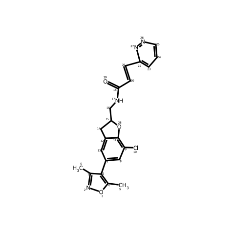 Cc1noc(C)c1-c1cc(Cl)c2c(c1)CC(CNC(=O)C=Cc1cccnn1)O2